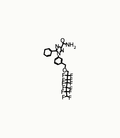 NC(=O)c1nc(C2=CCCC=C2)n(-c2cccc(COCC(F)(F)C(F)(F)C(F)(F)C(F)(F)C(F)(F)C(F)F)c2)n1